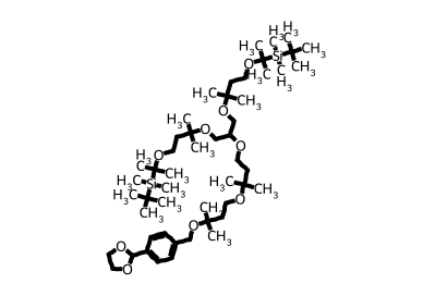 CC(C)(CCOC(COC(C)(C)CCOC(C)(C)[Si](C)(C)C(C)(C)C)COC(C)(C)CCOC(C)(C)[Si](C)(C)C(C)(C)C)OCCC(C)(C)OCc1ccc(C2OCCO2)cc1